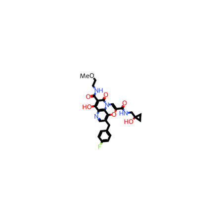 COCCNC(=O)c1c(O)c2ncc(Cc3ccc(F)cc3)c3c2n(c1=O)C=C(C(=O)NCC1(O)CC1)O3